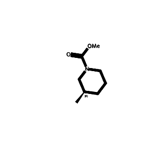 COC(=O)N1CCC[C@@H](C)C1